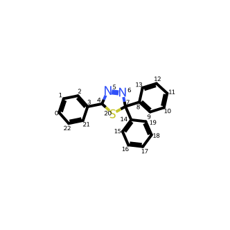 c1ccc(C2N=NC(c3ccccc3)(c3ccccc3)S2)cc1